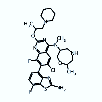 CC1CNCC(N(C)c2nc(OC(C)CN3CCCCC3)nc3c(F)c(-c4ccc(F)c5sc(N)nc45)c(Cl)cc23)CO1